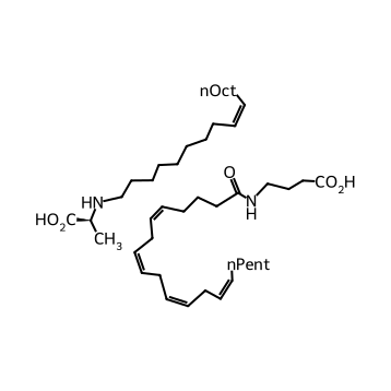 CCCCC/C=C\C/C=C\C/C=C\C/C=C\CCCC(=O)NCCCC(=O)O.CCCCCCCC/C=C\CCCCCCCCN[C@@H](C)C(=O)O